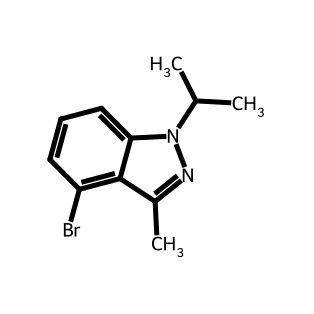 Cc1nn(C(C)C)c2cccc(Br)c12